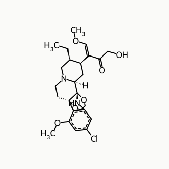 CC[C@@H]1CN2CC[C@@]34OCCO[C@@]3(Nc3cc(Cl)cc(OC)c34)[C@@H]2C[C@@H]1/C(=C\OC)C(=O)CO